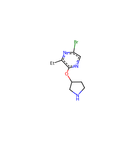 CCc1nc(Br)cnc1OC1CCNC1